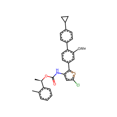 COc1cc(-c2sc(Cl)cc2NC(=O)O[C@H](C)c2ccccc2C)ccc1-c1ccc(C2CC2)cc1